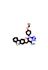 CCCc1c(Cc2ccc(-c3ccccc3C#N)cc2)c(=O)n(C2CCC(OCC(C)=O)CC2)c2ncnn12